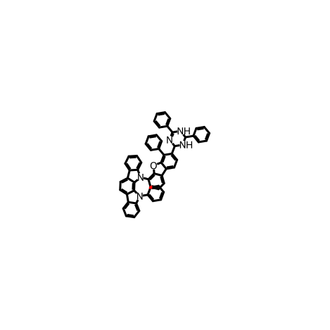 c1ccc(C2=NC(c3ccc4c(oc5c(-n6c7ccccc7c7ccc8c9ccccc9n(-c9ccccc9)c8c76)cccc54)c3-c3ccccc3)NC(c3ccccc3)N2)cc1